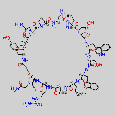 CCCC[C@H]1C(=O)N[C@@H](CCCNC(=N)N)C(=O)NC(C(=O)NCC(N)=O)CSCC(=O)N[C@@H](Cc2ccc(O)cc2)C(=O)N(C)[C@@H](C)C(=O)N[C@@H](CC(N)=O)C(=O)N2CCC[C@H]2C(=O)N[C@@H](CN)C(=O)N[C@@H](CC(C)C)C(=O)N2C[C@H](O)CC2C(=O)N[C@@H](Cc2c[nH]c3ccccc23)C(=O)N[C@@H](CO)C(=O)N[C@@H](Cc2csc3ccccc23)C(=O)N(C)[C@@H](CCSC)C(=O)N1C